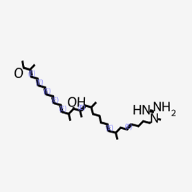 CC(=O)/C(C)=C/C=C/C=C/C=C/C=C/C(C)C(O)/C(C)=C/C(C)CCC/C=C/C(C)C/C=C/CCCN(C)C(=N)N